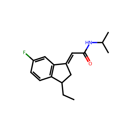 CCC1C/C(=C\C(=O)NC(C)C)c2cc(F)ccc21